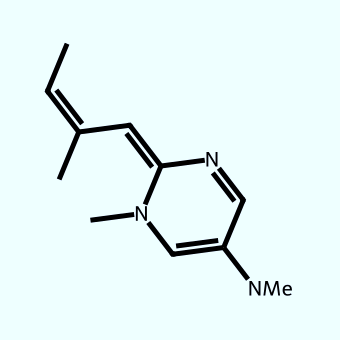 C/C=C(C)\C=C1\N=CC(NC)=CN1C